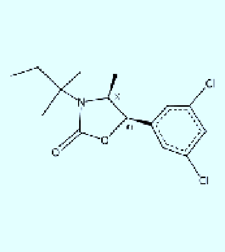 CCC(C)(C)N1C(=O)O[C@H](c2cc(Cl)cc(Cl)c2)[C@@H]1C